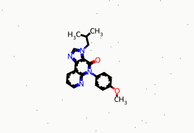 COc1ccc(-n2c(=O)c3c(ncn3CC(C)C)c3cccnc32)cc1